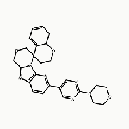 C1=CCC2OCCC3(COCc4nc5ccc(-c6cnc(N7CCOCC7)nc6)nc5n43)C2=C1